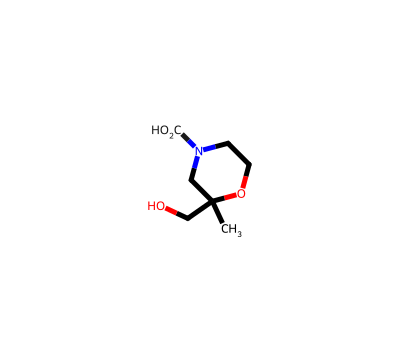 CC1(CO)CN(C(=O)O)CCO1